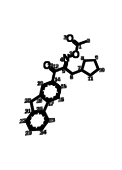 CC(=O)O/N=C(\CC1CCCC1)C(=O)c1ccc2c(c1)Cc1ccccc1-2